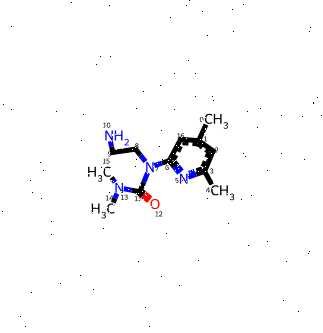 Cc1cc(C)nc(N(CCN)C(=O)N(C)C)c1